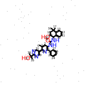 Cc1cc(NC(=O)NC2c3ccccc3C(C)(C)C[C@H]2O)c(-c2ccccc2)nc1-c1cnc(C(C)(C)O)nc1